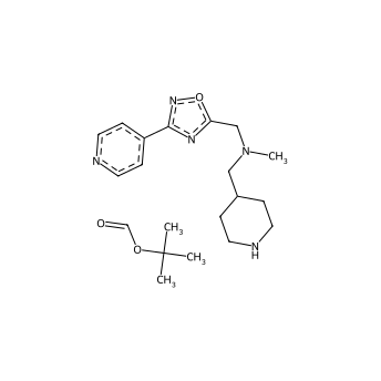 CC(C)(C)OC=O.CN(Cc1nc(-c2ccncc2)no1)CC1CCNCC1